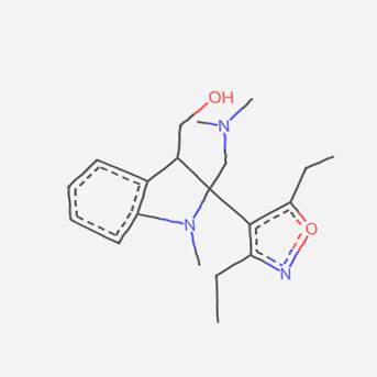 CCc1noc(CC)c1C1(CN(C)C)C(CO)c2ccccc2N1C